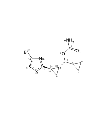 NC(=O)OC(C1CC1)[C@@H]1C[C@H]1c1csc(Br)n1